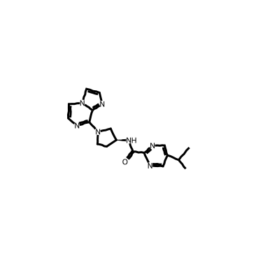 CC(C)c1cnc(C(=O)N[C@H]2CCN(c3nccn4ccnc34)C2)nc1